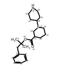 CC(C)(Cc1ccccc1)OC(=O)C1CCCN(C2CCNCC2)C1